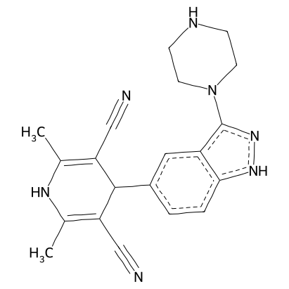 CC1=C(C#N)C(c2ccc3[nH]nc(N4CCNCC4)c3c2)C(C#N)=C(C)N1